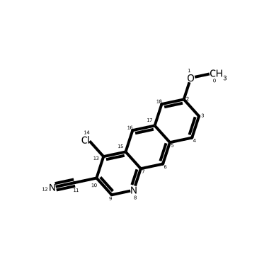 COc1ccc2cc3ncc(C#N)c(Cl)c3cc2c1